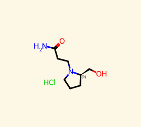 Cl.NC(=O)CCN1CCC[C@@H]1CO